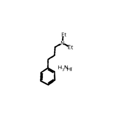 CCN(CC)CCCc1ccccc1.I.N